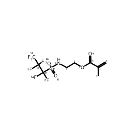 C=C(C)C(=O)OCCNS(=O)(=O)C(F)(F)C(F)(F)C(F)(F)F